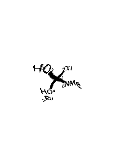 CNC(O)(O)O.[Ru]